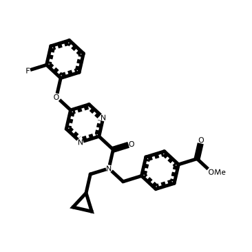 COC(=O)c1ccc(CN(CC2CC2)C(=O)c2ncc(Oc3ccccc3F)cn2)cc1